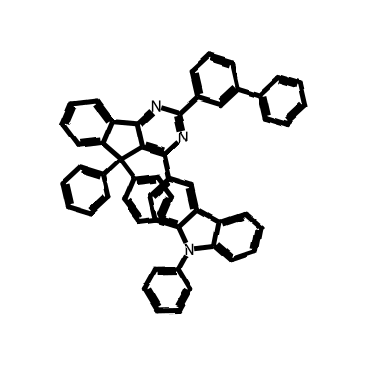 c1ccc(-c2cccc(-c3nc(-c4ccc5c(c4)c4ccccc4n5-c4ccccc4)c4c(n3)-c3ccccc3C4(c3ccccc3)c3ccccc3)c2)cc1